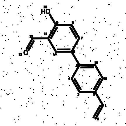 C=Cc1ccc(-c2ccc(O)c(C=O)c2)cc1